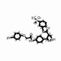 CCS(=O)(=O)c1ccc2oc(-c3c[nH]nc3-c3ccc(NC(=O)COc4ccc(C(C)C)cc4)cc3)nc2c1